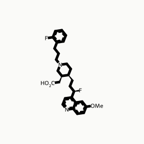 COc1ccc2nccc([C@H](F)CC[C@@H]3CCN(CCCc4ccccc4F)C[C@@H]3CC(=O)O)c2c1